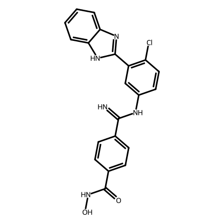 N=C(Nc1ccc(Cl)c(-c2nc3ccccc3[nH]2)c1)c1ccc(C(=O)NO)cc1